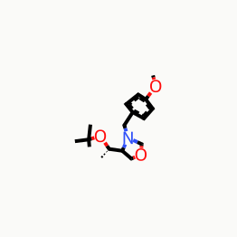 COc1ccc(CN2COCC2[C@H](C)OC(C)(C)C)cc1